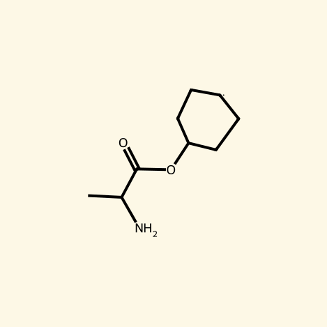 CC(N)C(=O)OC1CC[CH]CC1